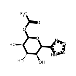 O=C(OC1OC(c2nnn[nH]2)[C@@H](O)[C@H](O)[C@H]1O)C(F)(F)F